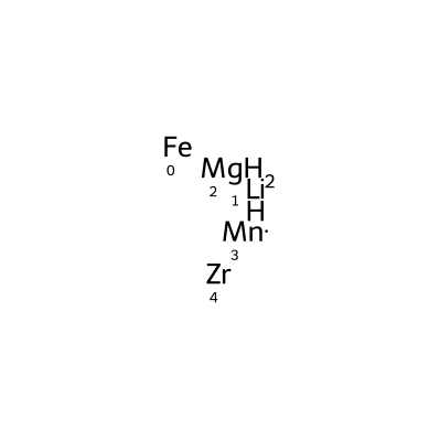 [Fe].[LiH].[MgH2].[Mn].[Zr]